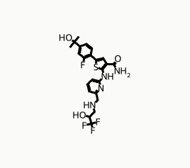 CC(C)(O)c1ccc(-c2cc(C(N)=O)c(Nc3cccc(CNCC(O)C(F)(F)F)n3)s2)c(F)c1